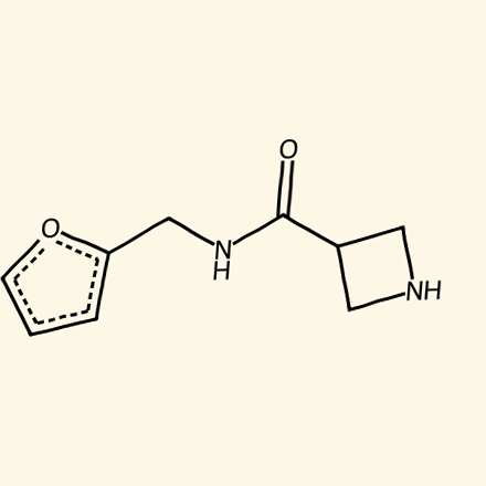 O=C(NCc1ccco1)C1CNC1